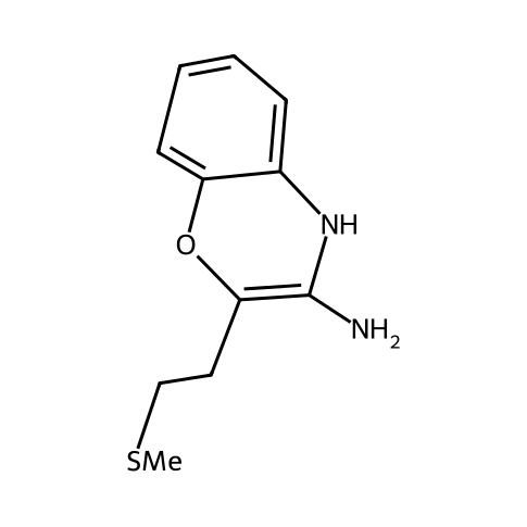 CSCCC1=C(N)Nc2ccccc2O1